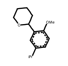 COc1ccc(C(C)C)cc1C1CC[CH]CO1